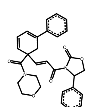 O=C(/C=C/C1(C(=O)N2CCOCC2)C=CC=C(c2ccccc2)C1)N1C(=O)OCC1c1ccccc1